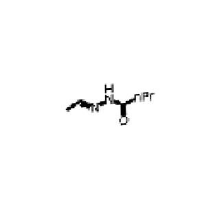 C/C=N/NC(=O)CCC